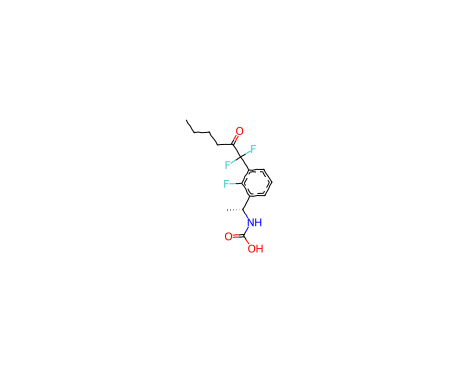 CCCCC(=O)C(F)(F)c1cccc([C@@H](C)NC(=O)O)c1F